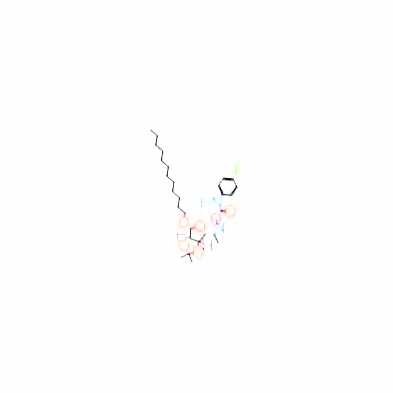 CCCCCCCCCCCCO[C@H]1O[C@H](/C(C)=N\OC(=O)Nc2ccc(F)cc2)[C@@H]2OC(C)(C)O[C@H]12